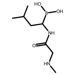 CNCC(=O)NC(CC(C)C)B(O)O